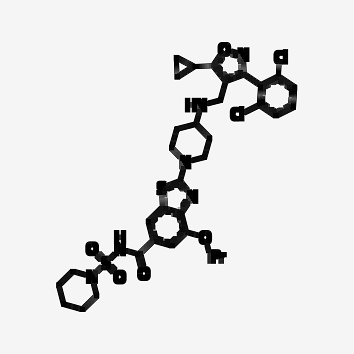 CC(C)Oc1cc(C(=O)NS(=O)(=O)N2CCCCC2)cc2sc(N3CCC(NCc4c(-c5c(Cl)cccc5Cl)noc4C4CC4)CC3)nc12